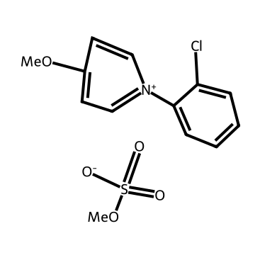 COS(=O)(=O)[O-].COc1cc[n+](-c2ccccc2Cl)cc1